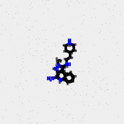 CCCn1nc2c(N)nc3ccccc3c2c1NCCC1CCNCC1